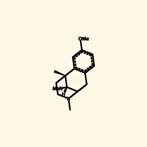 CN[C@H]1C2Cc3ccc(OC)cc3[C@@]1(C)CCN2C